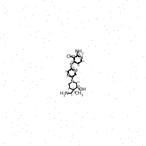 C[C@]1(CN)CCN(c2cnc(Sc3ccnc(N)c3Cl)cn2)C[C@H]1O